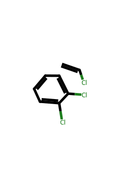 C=CCl.Clc1ccccc1Cl